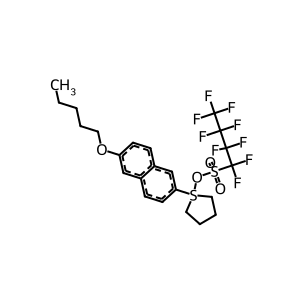 CCCCCOc1ccc2cc(S3(OS(=O)(=O)C(F)(F)C(F)(F)C(F)(F)C(F)(F)F)CCCC3)ccc2c1